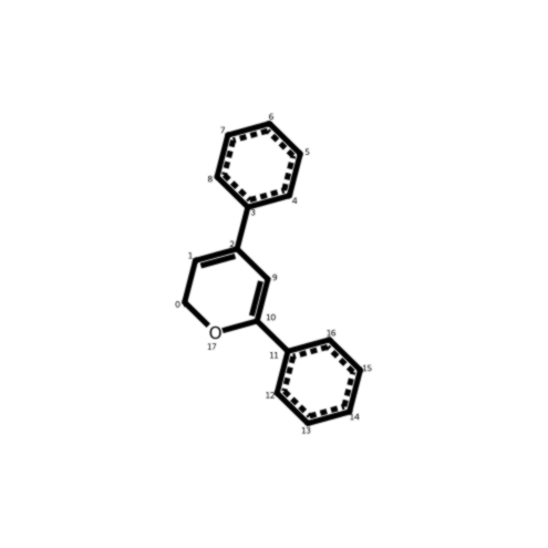 [CH]1C=C(c2ccccc2)C=C(c2ccccc2)O1